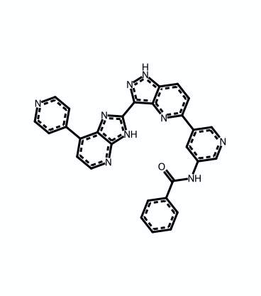 O=C(Nc1cncc(-c2ccc3[nH]nc(-c4nc5c(-c6ccncc6)ccnc5[nH]4)c3n2)c1)c1ccccc1